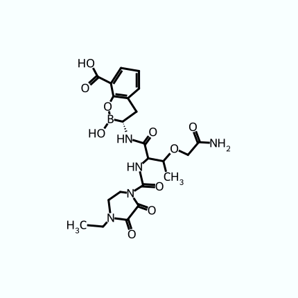 CCN1CCN(C(=O)NC(C(=O)N[C@H]2Cc3cccc(C(=O)O)c3OB2O)C(C)OCC(N)=O)C(=O)C1=O